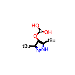 CC(C)(C)c1n[nH]c(C(C)(C)C)c1OB(O)O